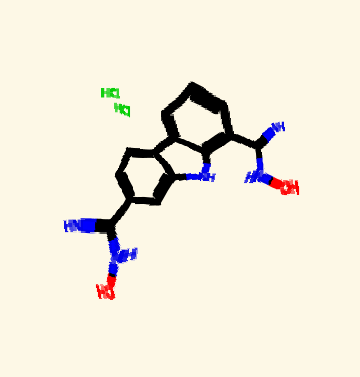 Cl.Cl.N=C(NO)c1ccc2c(c1)[nH]c1c(C(=N)NO)cccc12